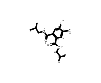 CC(C)COC(=O)c1cc(Cl)c(Cl)cc1C(=O)OCC(C)C